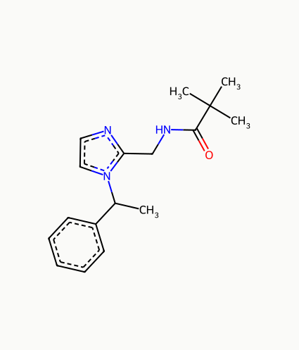 CC(c1ccccc1)n1ccnc1CNC(=O)C(C)(C)C